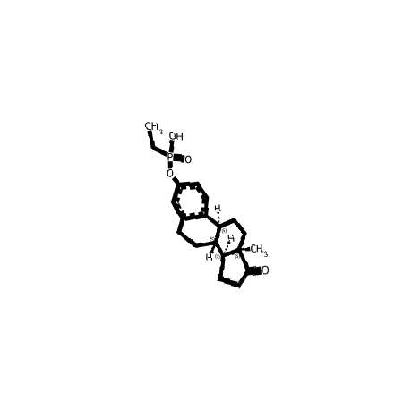 CCP(=O)(O)Oc1ccc2c(c1)CC[C@@H]1[C@@H]2CC[C@]2(C)C(=O)CC[C@@H]12